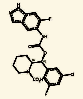 O=C(Nc1cc2cn[nH]c2cc1F)O[C@@H](c1cc(F)cc(Cl)c1)[C@@H]1CCCCN1C(=O)O